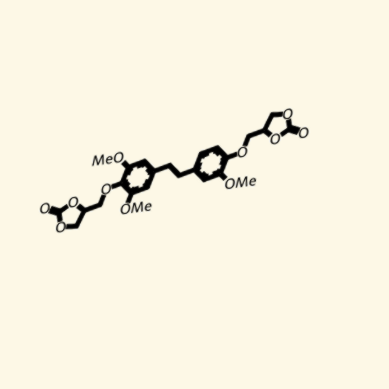 COc1cc(CCc2cc(OC)c(OCC3COC(=O)O3)c(OC)c2)ccc1OCC1COC(=O)O1